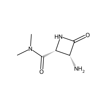 CN(C)C(=O)[C@@H]1NC(=O)[C@@H]1N